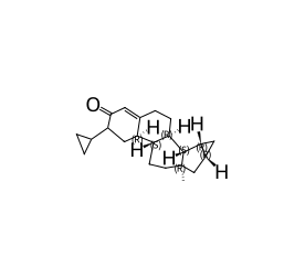 C[C@]12CC[C@H]3[C@@H](CCC4=CC(=O)C(C5CC5)C[C@@H]43)[C@@H]1[C@@H]1C[C@@H]1C2